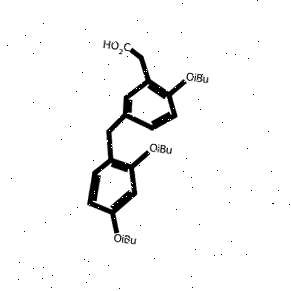 CC(C)COc1ccc(Cc2ccc(OCC(C)C)c(CC(=O)O)c2)c(OCC(C)C)c1